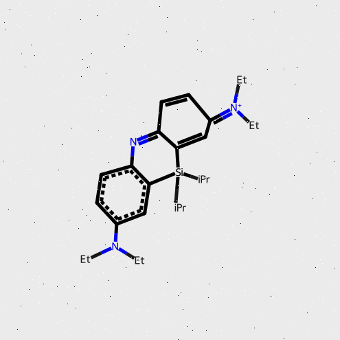 CCN(CC)c1ccc2c(c1)[Si](C(C)C)(C(C)C)C1=CC(=[N+](CC)CC)C=CC1=N2